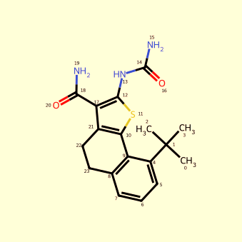 CC(C)(C)c1cccc2c1-c1sc(NC(N)=O)c(C(N)=O)c1CC2